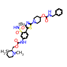 CN1CCC[SiH2][C@H]1COC(=O)Nc1ccc(-c2cnc(N3CCC(OC(=O)NCc4ccccc4)CC3)s2)c(S(=O)(=O)NC(C)(C)C)c1